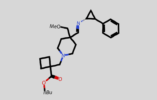 CCCCOC(=O)C1(CN2CCC(/C=N/[C@@H]3CC3c3ccccc3)(COC)CC2)CCC1